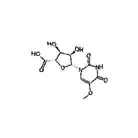 COc1cn([C@@H]2O[C@H](C(=O)O)[C@@H](O)[C@H]2O)c(=O)[nH]c1=O